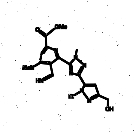 CCn1nc(CO)cc1-c1nc(-c2nc(C(=O)OC)cc(NC)c2C=N)n(C)n1